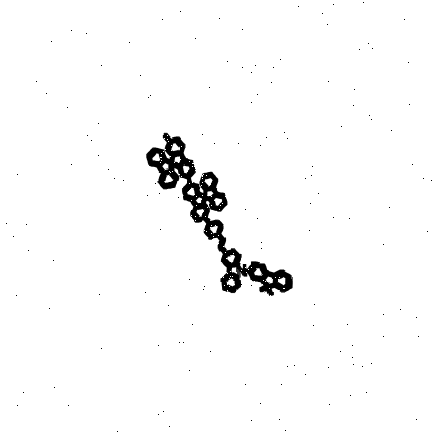 Cc1ccc2c(c1)C1(c3ccccc3-c3ccccc31)c1cc(-c3ccc4c(c3)C3(c5ccccc5-c5ccccc53)c3cc(-c5ccc(/C=C/c6ccc7c(c6)c6ccccc6n7-c6ccc7c(c6)C(C)(C)c6ccccc6-7)cc5)ccc3-4)ccc1-2